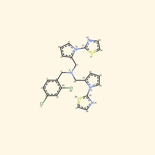 Clc1ccc(CN(Cc2cccn2-c2nccs2)Cc2cccn2-c2nccs2)c(Cl)c1